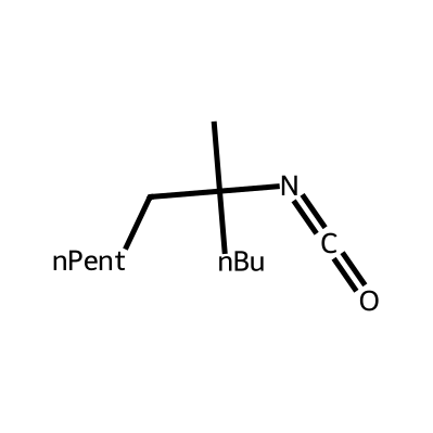 CCCCCCC(C)(CCCC)N=C=O